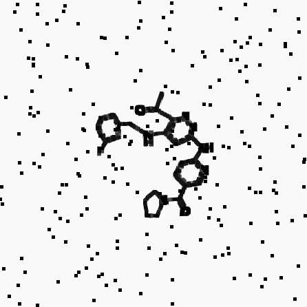 CC(=O)c1nnc(Nc2ccc(C(=O)N3CCCC3)cn2)cc1NCc1cccc(F)c1